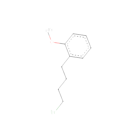 CCCOc1ccccc1CCCCBr